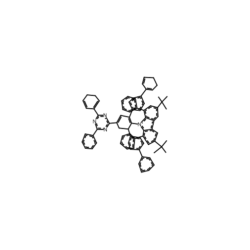 CC(C)(C)c1cc(-c2ccccc2)c2c(c1)c1cc(C(C)(C)C)cc(-c3ccccc3)c1n2C1=C(c2ccc(C3=CCCC=C3)cc2)C=C(c2nc(C3=CCCC=C3)nc(-c3ccccc3)n2)CC1c1ccc(-c2ccccc2)cc1